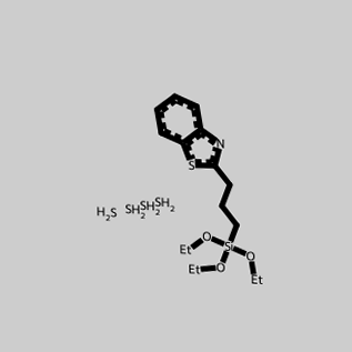 CCO[Si](CCCc1nc2ccccc2s1)(OCC)OCC.S.S.S.S